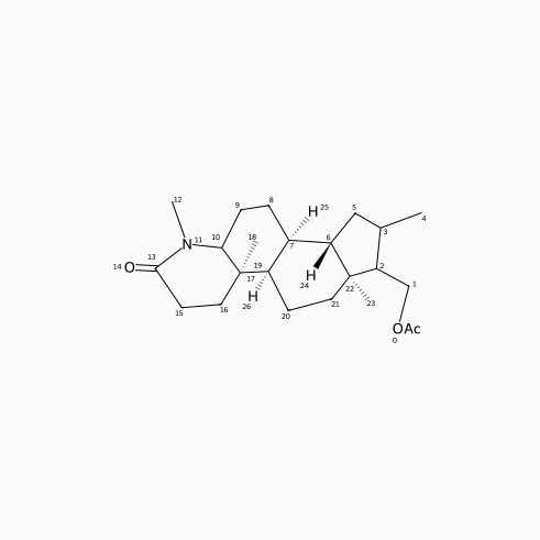 CC(=O)OCC1C(C)C[C@H]2[C@@H]3CCC4N(C)C(=O)CC[C@]4(C)[C@@H]3CC[C@]12C